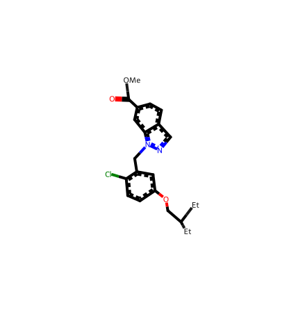 CCC(CC)COc1ccc(Cl)c(Cn2ncc3ccc(C(=O)OC)cc32)c1